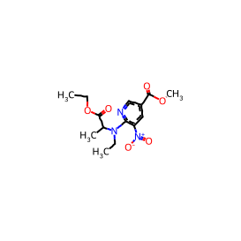 CCOC(=O)C(C)N(CC)c1ncc(C(=O)OC)cc1[N+](=O)[O-]